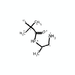 CC(CN)PC(=O)C(C)(C)I